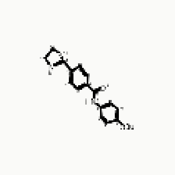 CC(C)(C)c1ccc(NC(=O)c2ccc(C3=NCCS3)cc2)cc1